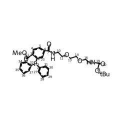 COC(=O)c1ccc(C(=O)NCCOCCOCCNC(=O)OC(C)(C)C)cc1P(c1ccccc1)c1ccccc1